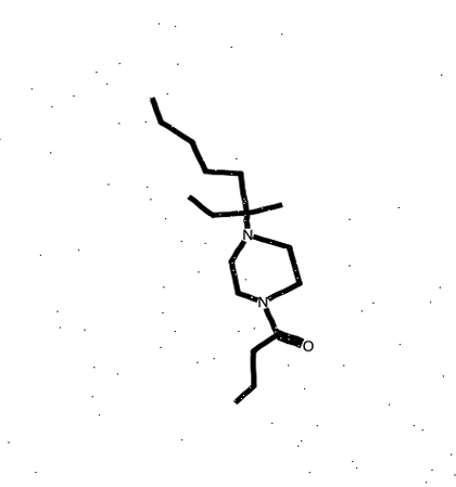 CCCCCC(C)(CC)N1CCN(C(=O)CCC)CC1